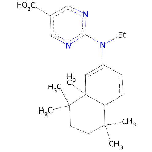 CCN(C1=CC2(C)C(C=C1)C(C)(C)CCC2(C)C)c1ncc(C(=O)O)cn1